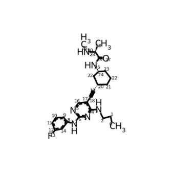 CCCNc1nc(Nc2cccc(F)c2)ncc1C#C[C@H]1CCC[C@@H](NC(=O)[C@H](C)NC)C1